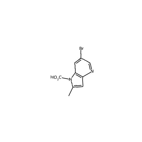 Cc1cc2ncc(Br)cc2n1C(=O)O